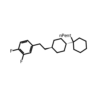 CCCCCC1([C@H]2CC[C@H](CCc3ccc(F)c(F)c3)CC2)CCCCC1